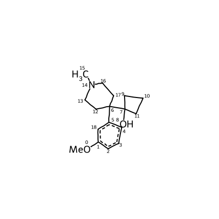 COc1cccc(C2(C3(O)CCC3)CCN(C)CC2)c1